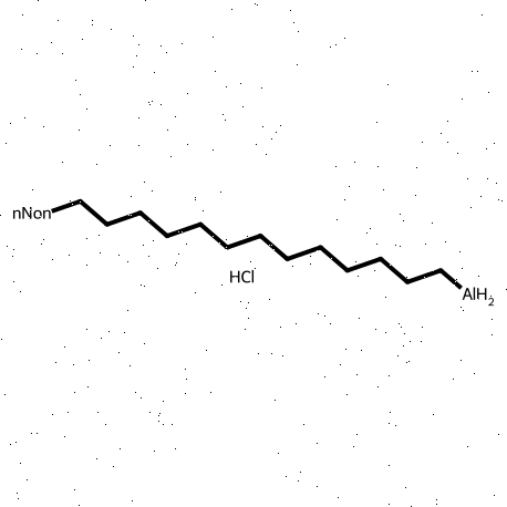 CCCCCCCCCCCCCCCCCCCCC[CH2][AlH2].Cl